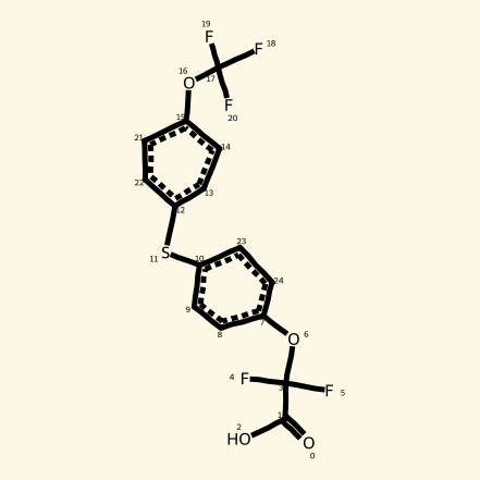 O=C(O)C(F)(F)Oc1ccc(Sc2ccc(OC(F)(F)F)cc2)cc1